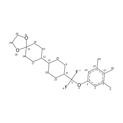 Cc1cc(OC(F)(F)C2CCC(C3CCC4(CC3)OCCO4)CC2)cc(C)c1C